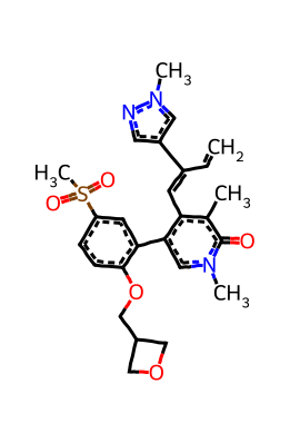 C=C/C(=C\c1c(-c2cc(S(C)(=O)=O)ccc2OCC2COC2)cn(C)c(=O)c1C)c1cnn(C)c1